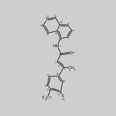 C/C(=C\C(=O)Nc1cccc2cnccc12)c1ccc(C(F)(F)F)c(F)c1